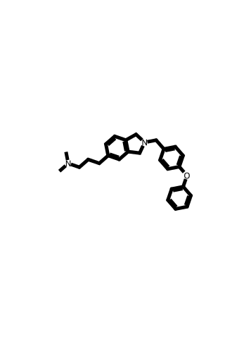 CN(C)CCCc1ccc2c(c1)CN(Cc1ccc(Oc3ccccc3)cc1)C2